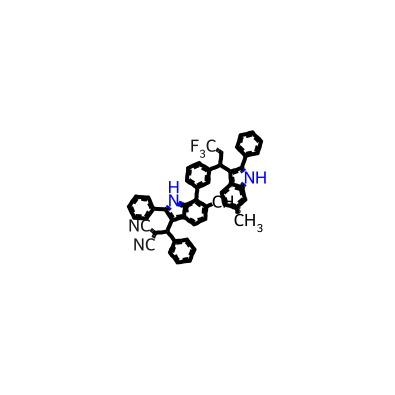 Cc1ccc2c(C(CC(F)(F)F)c3cccc(-c4c(C)ccc5c(C(c6ccccc6)C(C#N)C#N)c(-c6ccccc6)[nH]c45)c3)c(-c3ccccc3)[nH]c2c1